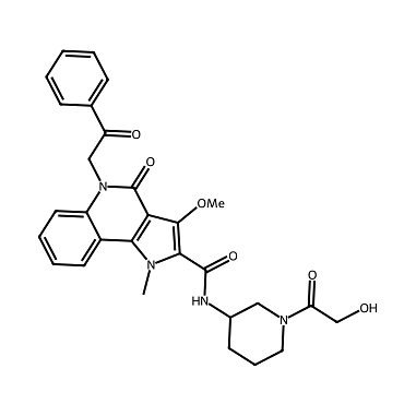 COc1c(C(=O)NC2CCCN(C(=O)CO)C2)n(C)c2c1c(=O)n(CC(=O)c1ccccc1)c1ccccc21